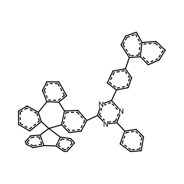 c1ccc(-c2nc(-c3ccc(-c4cccc5ccccc45)cc3)nc(-c3ccc4c(c3)-c3ccccc3-c3ccccc3C43c4ccccc4-c4ccccc43)n2)cc1